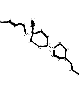 CCCCC[C@]1(C#N)CC[C@H](N2CCC(CCC)CC2)CC1